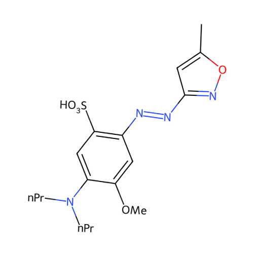 CCCN(CCC)c1cc(S(=O)(=O)O)c(N=Nc2cc(C)on2)cc1OC